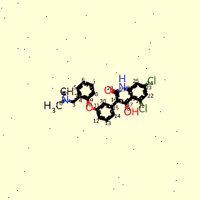 CN(C)Cc1ccccc1Oc1cccc(-c2c(O)c3c(Cl)cc(Cl)cc3[nH]c2=O)c1